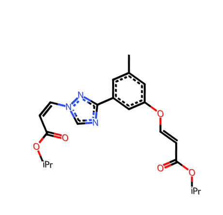 Cc1cc(O/C=C/C(=O)OC(C)C)cc(-c2ncn(/C=C\C(=O)OC(C)C)n2)c1